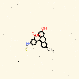 C=c1ccc2c(c1)Cc1cc(O)ccc1C=2c1ccc(N=C=S)cc1C(=O)O